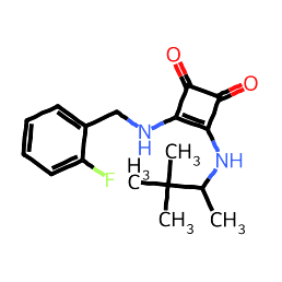 CC(Nc1c(NCc2ccccc2F)c(=O)c1=O)C(C)(C)C